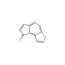 O=C1C=Cc2ccc3occc3c21